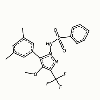 COc1c(C(F)(F)F)nn(NS(=O)(=O)c2ccccc2)c1-c1cc(C)cc(C)c1